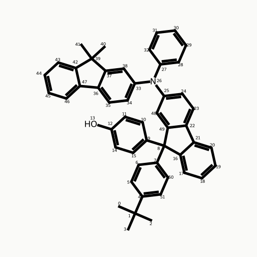 CC(C)(C)c1ccc(C2(c3ccc(O)cc3)c3ccccc3-c3ccc(N(c4ccccc4)c4ccc5c(c4)C(C)(C)c4ccccc4-5)cc32)cc1